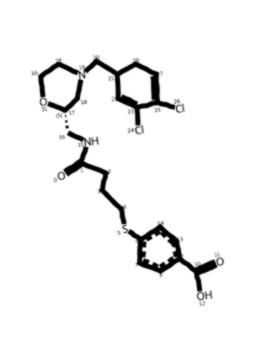 O=C(CCCSc1ccc(C(=O)O)cc1)NC[C@H]1CN(CC2C=C(Cl)C(Cl)=CC2)CCO1